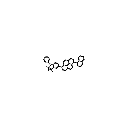 CC12CC1(C)N(c1ccccc1)c1ccc(-c3ccc4ccc5c(-c6cccc7ccccc67)ccc6ccc3c4c65)cc12